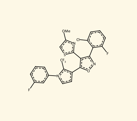 COc1csc(-c2c(-c3c(F)cccc3Cl)noc2-c2ccn(-c3cccc(F)c3)c2C(F)(F)F)n1